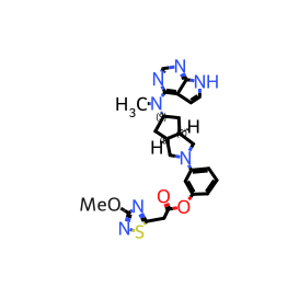 COc1nsc(CC(=O)Oc2cccc(N3C[C@H]4C[C@H](N(C)c5ncnc6[nH]ccc56)C[C@H]4C3)c2)n1